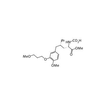 COCCCOc1cc(C[C@@H](C[C@H](NC(=O)O)C(=O)OC)C(C)C)ccc1OC